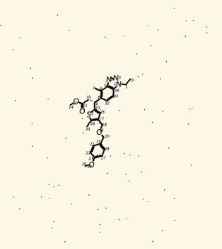 CCn1nnc2c(C)c([C@@H](CC(=O)OC)c3cc(COCc4ccc(OC)cc4)c(C)s3)ccc21